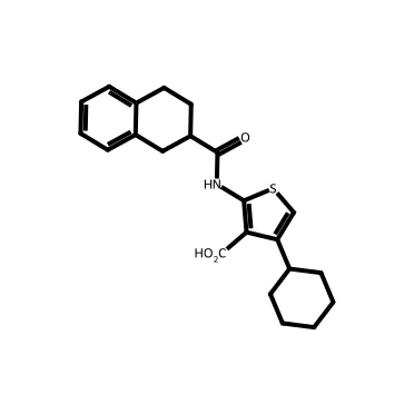 O=C(O)c1c(C2CCCCC2)csc1NC(=O)C1CCc2ccccc2C1